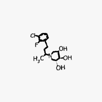 CC(CCc1cccc(Cl)c1F)N1C[C@@H](O)[C@H](O)[C@@H](O)C1